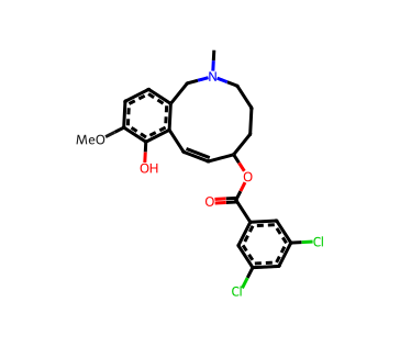 COc1ccc2c(c1O)/C=C\C(OC(=O)c1cc(Cl)cc(Cl)c1)CCCN(C)C2